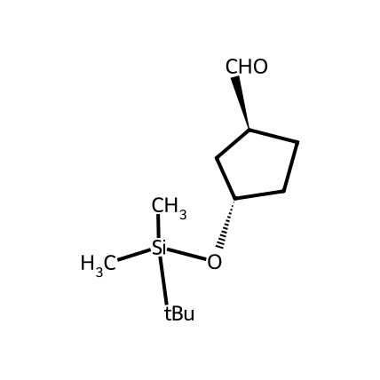 CC(C)(C)[Si](C)(C)O[C@H]1CC[C@H](C=O)C1